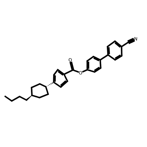 CCCC[C@H]1CC[C@H](c2ccc(C(=O)Oc3ccc(-c4ccc(C#N)cc4)cc3)cc2)CC1